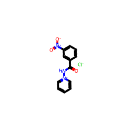 O=C(N[n+]1ccccc1)c1cccc([N+](=O)[O-])c1.[Cl-]